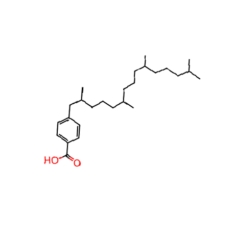 CC(C)CCCC(C)CCCC(C)CCCC(C)Cc1ccc(C(=O)O)cc1